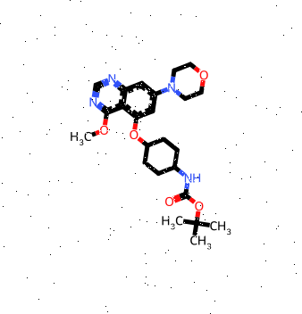 COc1ncnc2cc(N3CCOCC3)cc(OC3CCC(NC(=O)OC(C)(C)C)CC3)c12